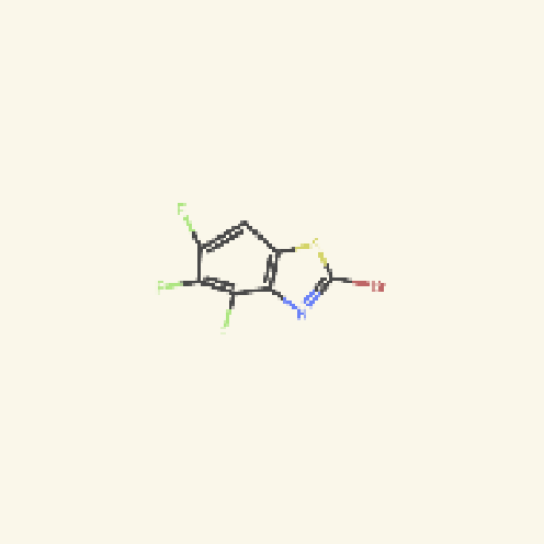 Fc1cc2sc(Br)nc2c(F)c1F